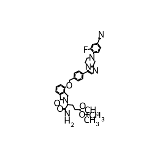 CC(C)(C)OC(=O)CCC(C(N)=O)N1Cc2c(OCc3ccc(-c4cnc5n4CCN(c4ccc(C#N)cc4F)C5)cc3)cccc2C1=O